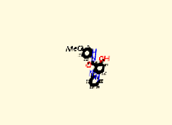 COc1ccc(NC(=O)C2=C(O)CCc3c2nc2ccccn32)cc1